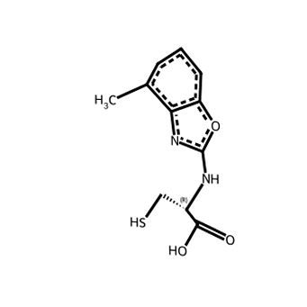 Cc1cccc2oc(N[C@@H](CS)C(=O)O)nc12